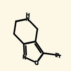 CC(C)c1onc2c1CNCC2